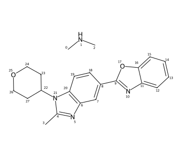 CNC.Cc1nc2cc(-c3nc4ccccc4o3)ccc2n1C1CCOCC1